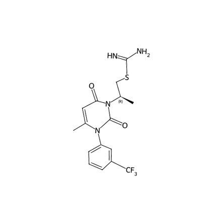 Cc1cc(=O)n([C@H](C)CSC(=N)N)c(=O)n1-c1cccc(C(F)(F)F)c1